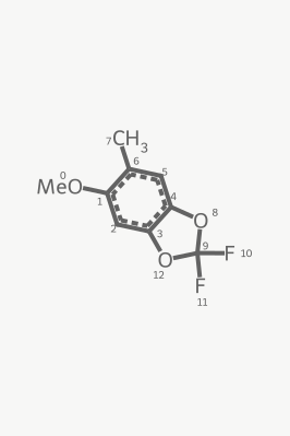 COc1cc2c(cc1C)OC(F)(F)O2